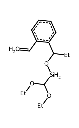 C=Cc1ccccc1C(CC)O[SiH2]C(OCC)OCC